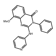 COc1cccc2c(=O)n(-c3ccccc3)c(Nc3cccnc3)nc12